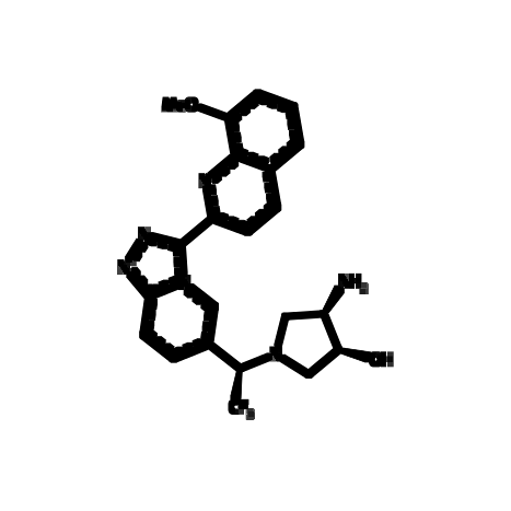 COc1cccc2ccc(-c3nnc4ccc([C@@H](N5C[C@@H](N)[C@@H](O)C5)C(F)(F)F)cn34)nc12